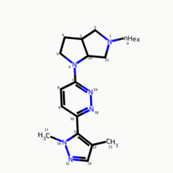 CCCCCCN1CC2CCN(c3ccc(-c4c(C)cnn4C)nn3)C2C1